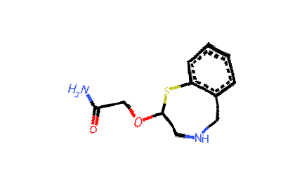 NC(=O)COC1CNCc2ccccc2S1